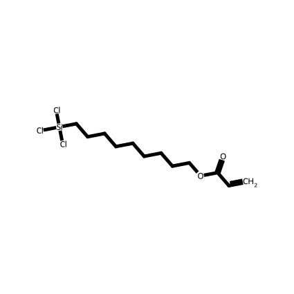 C=CC(=O)OCCCCCCCCC[Si](Cl)(Cl)Cl